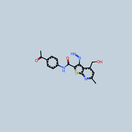 CC(=O)c1ccc(NC(=O)c2sc3nc(C)cc(CO)c3c2N=N)cc1